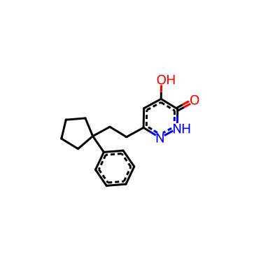 O=c1[nH]nc(CCC2(c3ccccc3)CCCC2)cc1O